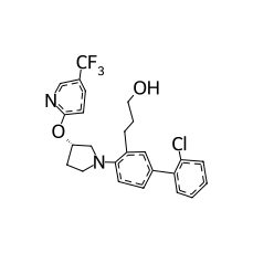 OCCCc1cc(-c2ccccc2Cl)ccc1N1CC[C@H](Oc2ccc(C(F)(F)F)cn2)C1